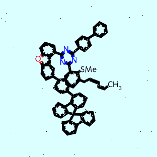 C/C=C\C=C/Cc1cccc(-c2nc(-c3ccc(-c4ccccc4)cc3)nc(-c3cccc4oc5ccc(-c6ccc(-c7cccc8c7-c7ccccc7C87c8ccccc8-c8ccccc87)cc6)cc5c34)n2)c1SC